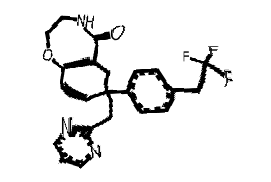 O=C1NCCOC2=C1CC(Cc1ncccn1)(c1ccc(CC(F)(F)F)cc1)C=C2